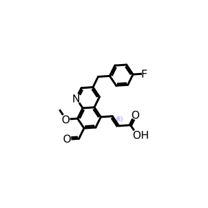 COc1c(C=O)cc(/C=C/C(=O)O)c2cc(Cc3ccc(F)cc3)cnc12